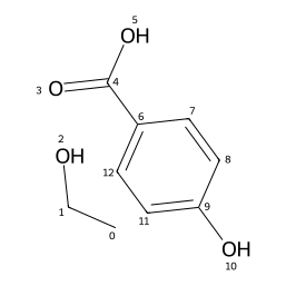 CCO.O=C(O)c1ccc(O)cc1